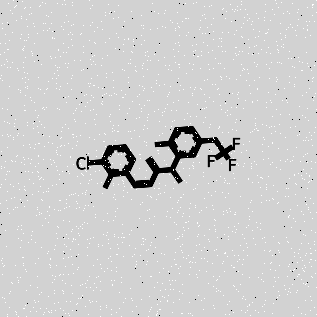 C=C(/C=C\c1cccc(Cl)c1C)C(C)c1cc(CC(F)(F)F)ccc1C